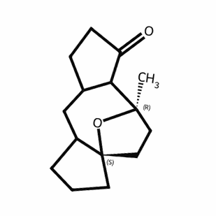 C[C@@]12CC[C@]3(CCCC3CC3CCC(=O)C31)O2